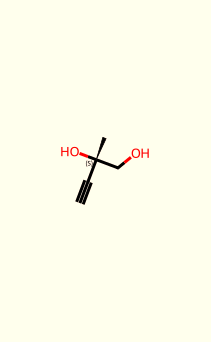 C#C[C@](C)(O)CO